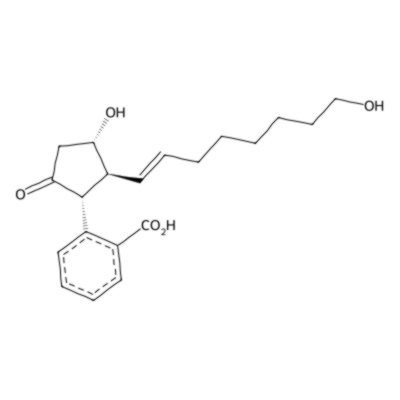 O=C(O)c1ccccc1[C@@H]1C(=O)C[C@H](O)[C@H]1C=CCCCCCCO